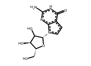 Nc1nc2c(ccn2[C@@H]2O[C@H](CO)[C@@H](O)C2O)c(=O)[nH]1